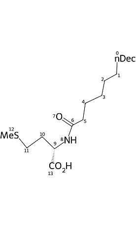 CCCCCCCCCCCCCCCC(=O)N[C@@H](CCSC)C(=O)O